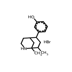 Br.CC1CC(c2cccc(O)c2)C2CCNC1(C)C2